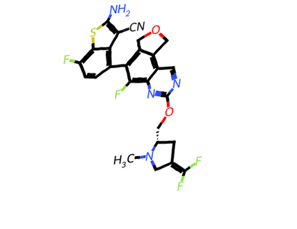 CN1CC(=C(F)F)C[C@H]1COc1ncc2c3c(c(-c4ccc(F)c5sc(N)c(C#N)c45)c(F)c2n1)COC3